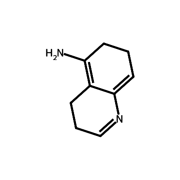 NC1=C2CCC=NC2=CCC1